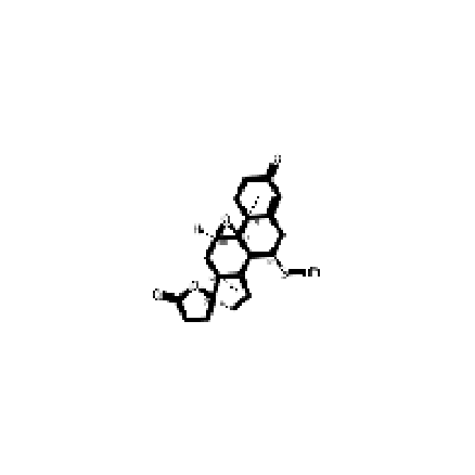 CCCS[C@@H]1CC2=CC(=O)CC[C@]2(C)[C@@]23O[C@@H]2C[C@@]2(C)C(CC[C@@]24CCC(=O)O4)C13